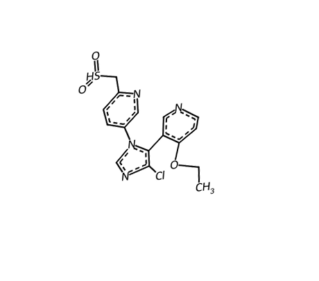 CCOc1ccncc1-c1c(Cl)ncn1-c1ccc(C[SH](=O)=O)nc1